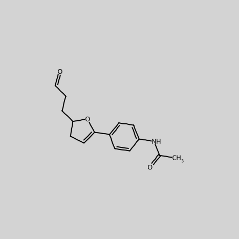 CC(=O)Nc1ccc(C2=CCC(CCC=O)O2)cc1